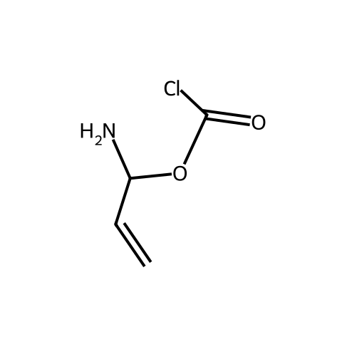 C=CC(N)OC(=O)Cl